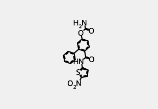 NC(=O)Oc1ccc(C(=O)Nc2ccc([N+](=O)[O-])s2)c(-c2ccccc2)c1